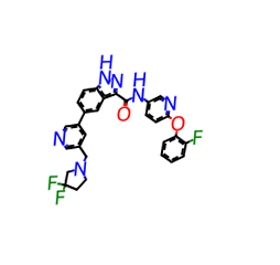 O=C(Nc1ccc(Oc2ccccc2F)nc1)c1n[nH]c2ccc(-c3cncc(CN4CCC(F)(F)C4)c3)cc12